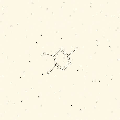 Fc1[c]cc(Cl)c(Cl)c1